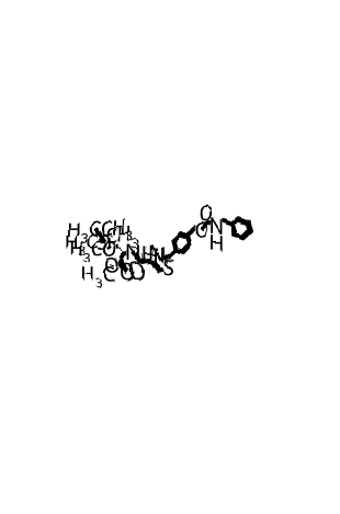 COC(=O)[C@H](CO[Si](C)(C)C(C)(C)C)NC(=O)c1csc(-c2ccc(COC(=O)NCc3ccccc3)cc2)n1